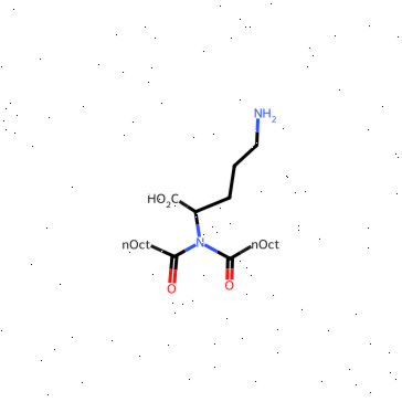 CCCCCCCCC(=O)N(C(=O)CCCCCCCC)C(CCCN)C(=O)O